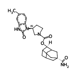 Cc1ccc2c(c1)[nH]c(=O)n2[C@H]1CCN(C(=O)O[C@H]2C3CC4CC2C[C@](C(N)=O)(C4)C3)C1